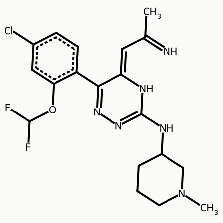 CC(=N)/C=C1\NC(NC2CCCN(C)C2)=NN=C1c1ccc(Cl)cc1OC(F)F